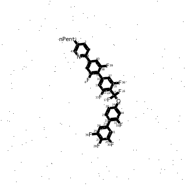 CCCCCc1ccc(-c2cc(F)c(-c3cc(F)c(C(F)(F)Oc4ccc(-c5cc(F)c(F)c(F)c5)c(F)c4)c(F)c3)c(F)c2)nc1